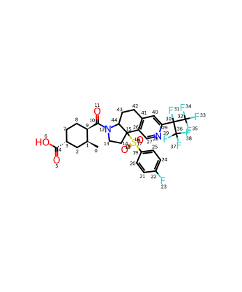 C[C@H]1C[C@H](C(=O)O)CC[C@H]1C(=O)N1CCC2(S(=O)(=O)c3ccc(F)cc3)c3cnc(C(F)(C(F)(F)F)C(F)(F)F)cc3CCC12